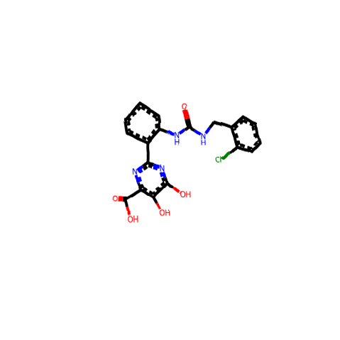 O=C(NCc1ccccc1Cl)Nc1ccccc1-c1nc(O)c(O)c(C(=O)O)n1